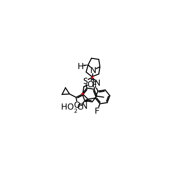 Cc1cc(C(=O)O)cc2sc(N3C4CC[C@H]3CC(OCc3c(-c5c(F)cccc5F)noc3C3CC3)C4)nc12